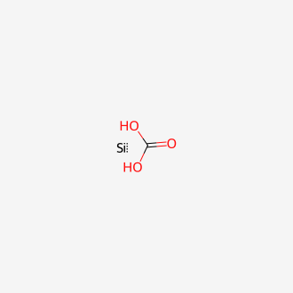 O=C(O)O.[Si]